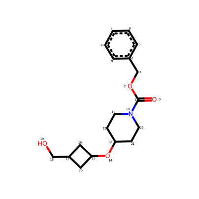 O=C(OCc1ccccc1)N1CCC(OC2CC(CO)C2)CC1